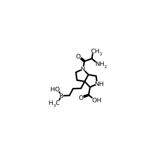 CB(O)CCCC12CCN(C(=O)C(C)N)C1CNC2C(=O)O